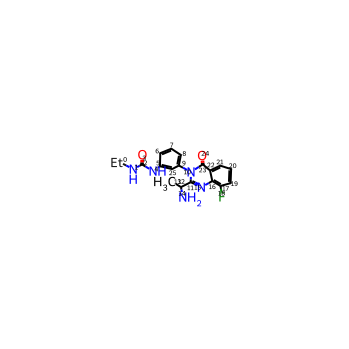 CCNC(=O)Nc1cccc(-n2c(C(C)N)nc3c(F)cccc3c2=O)c1